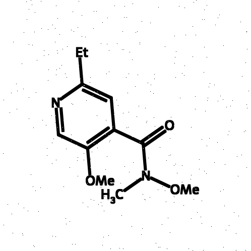 CCc1cc(C(=O)N(C)OC)c(OC)cn1